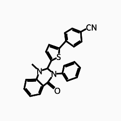 CN1c2ccccc2C(=O)N(c2ccccc2)C1c1ccc(-c2ccc(C#N)cc2)s1